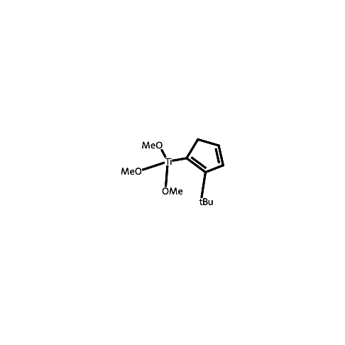 C[O][Ti]([O]C)([O]C)[C]1=C(C(C)(C)C)C=CC1